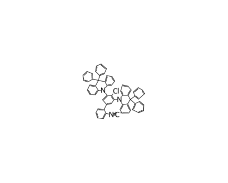 [C-]#[N+]c1ccccc1-c1cc(N2c3ccccc3C(c3ccccc3)(c3ccccc3)c3ccccc32)c(Cl)c(N2c3ccccc3C(c3ccccc3)(c3ccccc3)c3ccccc32)c1